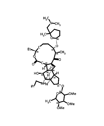 CC[C@H]1CCC[C@H](O[C@H]2CCCC(C)(CN(C)C)O2)[C@@H](C)C(=O)C2=C[C@H]3[C@@H]4C[C@H](O[C@@H]5OC(C)[C@H](OC)C(OC)C5OC)C[C@H]4[C@H](NCC(C)C)[C@@H](O)[C@H]3[C@@H]2CC(=O)O1